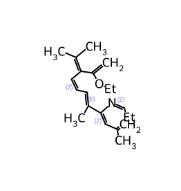 C=C(C)/C=C(\N=C/CC)C(/C)=C/C=C\C(C(=C)OCC)=C(C)C